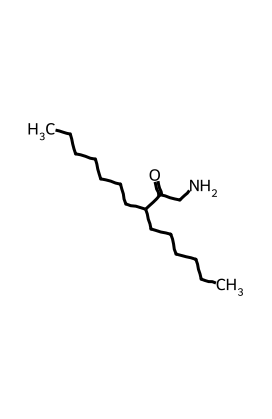 CCCCCCCC(CCCCCC)C(=O)CN